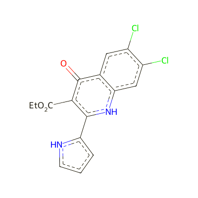 CCOC(=O)c1c(-c2ccc[nH]2)[nH]c2cc(Cl)c(Cl)cc2c1=O